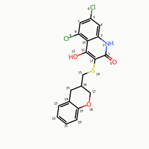 O=c1[nH]c2cc(Cl)cc(Cl)c2c(O)c1SCC1COc2ccccc2C1